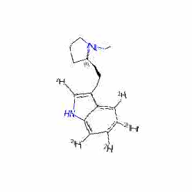 [2H]c1[nH]c2c([2H])c([2H])c([2H])c([2H])c2c1C[C@H]1CCCN1C